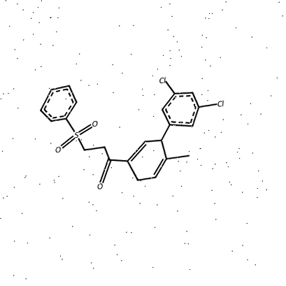 CC1=CCC(C(=O)CCS(=O)(=O)c2ccccc2)=CC1c1cc(Cl)cc(Cl)c1